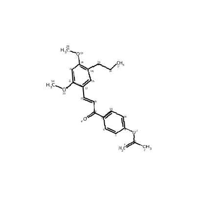 C=C(C)Oc1ccc(C(=O)C=Cc2cc(CCC)c(OC)cc2OC)cc1